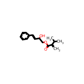 C=C(C(=O)OCC(O)C=Cc1ccccc1)C(C)C